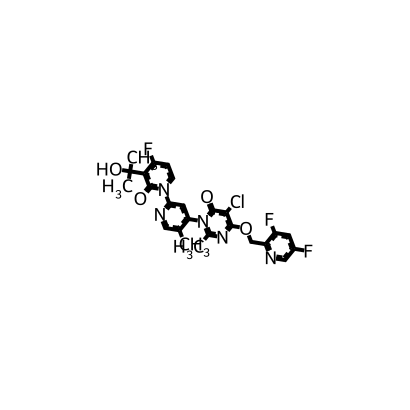 Cc1cnc(-n2ccc(F)c(C(C)(C)O)c2=O)cc1-n1c(C)nc(OCc2ncc(F)cc2F)c(Cl)c1=O